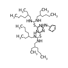 CCCCC(CC)CNC(NCC(CC)CCCC)Sc1nc(Nc2ccccc2)nc(SC(NCC(CC)CCCC)NCC(CC)CCCC)n1